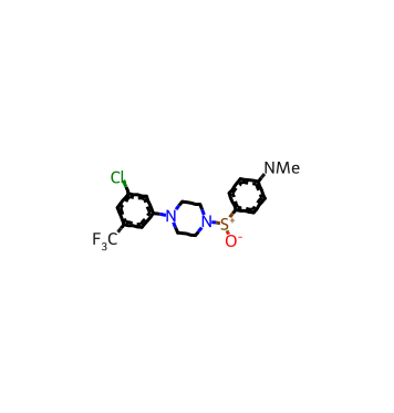 CNc1ccc([S+]([O-])N2CCN(c3cc(Cl)cc(C(F)(F)F)c3)CC2)cc1